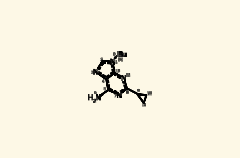 CC[C@H](C)n1cnc2c(N)nc(C3CC3)nc21